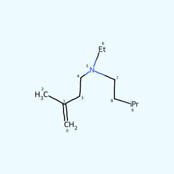 C=C(C)CCN(CC)CCC(C)C